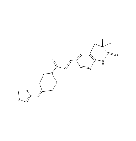 CC1(C)Cc2cc(/C=C/C(=O)N3CCC(=Cc4cscn4)CC3)cnc2NC1=O